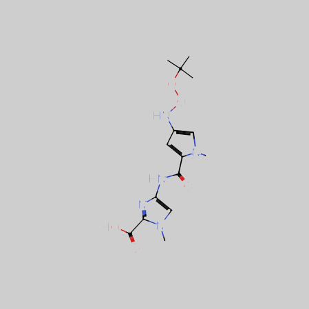 Cn1cc(NOOC(C)(C)C)cc1C(=O)Nc1cn(C)c(C(=O)O)n1